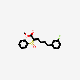 COC(=O)C(=CCCCc1cccc(F)c1)[S+]([O-])c1ccccc1